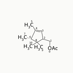 CC(=O)OCC1C=C(C)[C@@H](C)C1(C)C